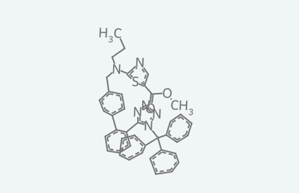 CCCN(Cc1ccc(-c2ccccc2-c2nnnn2C(c2ccccc2)(c2ccccc2)c2ccccc2)cc1)c1ncc(C(=O)OC)s1